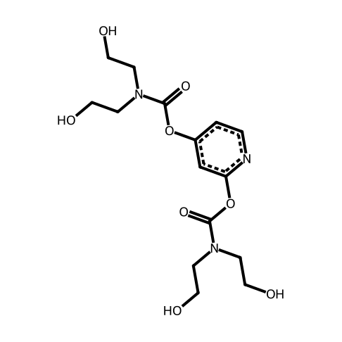 O=C(Oc1ccnc(OC(=O)N(CCO)CCO)c1)N(CCO)CCO